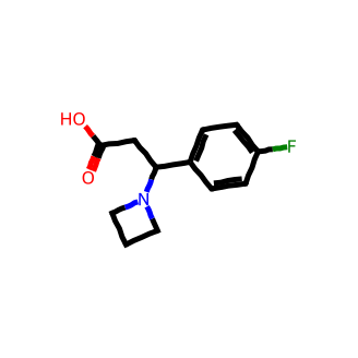 O=C(O)CC(c1ccc(F)cc1)N1CCC1